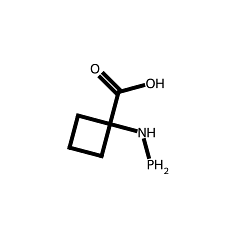 O=C(O)C1(NP)CCC1